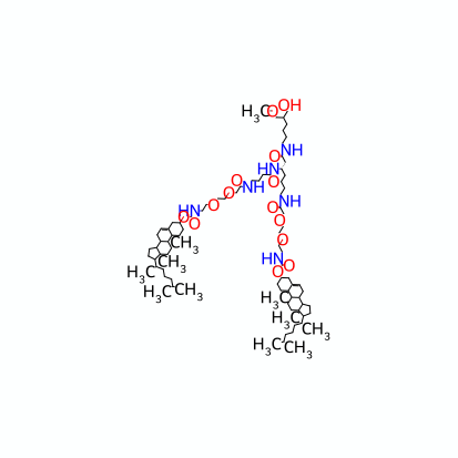 COCC(CO)CCCCNC(=O)C[C@H](CCCCNC(=O)COCCOCCNC(=O)OC1CCC2(C)C(=CCC3C2CCC2(C)C(C(C)CCCC(C)C)CCC32)C1)NC(=O)CCCNC(=O)COCCOCCNC(=O)OC1CCC2(C)C(=CCC3C2CCC2(C)C(C(C)CCCC(C)C)CCC32)C1